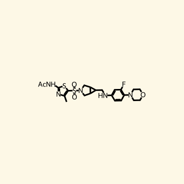 CC(=O)Nc1nc(C)c(S(=O)(=O)N2CC3C(CNc4ccc(N5CCOCC5)c(F)c4)C3C2)s1